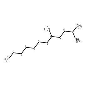 CCCCCCCC(N)CCC(C)N